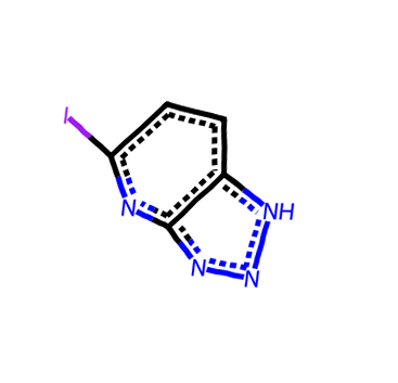 Ic1ccc2[nH]nnc2n1